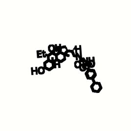 CC[C@@H]1C2C[C@H](O)CCC2(C)[C@H]2CCC3(C)[C@@H]([C@H](C)CNC(=O)NS(=O)(=O)c4ccc(C5CCCCC5)cc4)CC[C@H]3C2[C@@H]1O